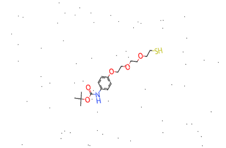 CC(C)(C)OC(=O)Nc1ccc(OCCOCCOCCS)cc1